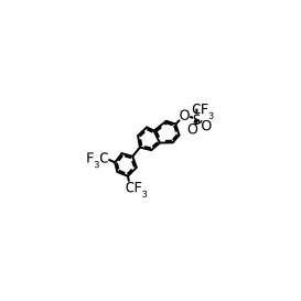 O=S(=O)(Oc1ccc2cc(-c3cc(C(F)(F)F)cc(C(F)(F)F)c3)ccc2c1)C(F)(F)F